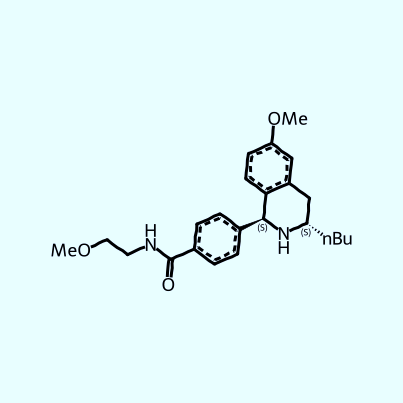 CCCC[C@H]1Cc2cc(OC)ccc2[C@H](c2ccc(C(=O)NCCOC)cc2)N1